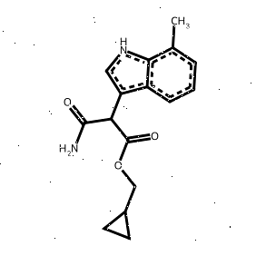 Cc1cccc2c(C(C(N)=O)C(=O)OCC3CC3)c[nH]c12